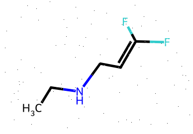 CCNCC=C(F)F